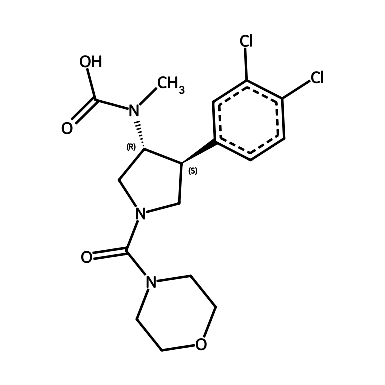 CN(C(=O)O)[C@H]1CN(C(=O)N2CCOCC2)C[C@@H]1c1ccc(Cl)c(Cl)c1